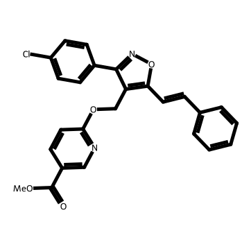 COC(=O)c1ccc(OCc2c(-c3ccc(Cl)cc3)noc2C=Cc2ccccc2)nc1